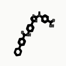 CN(c1ccc(C(=O)O)cc1)c1nc(-c2ccc(NC(=O)c3ccc(C4CCCCC4)cc3)cc2)cs1